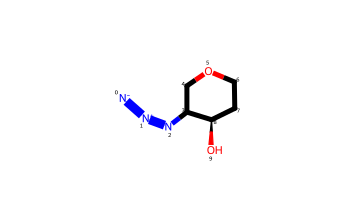 [N-]=[N+]=NC1COCC[C@H]1O